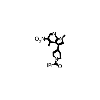 Cc1c([N+](=O)[O-])cnc2c1c(C1=CCN(C(=O)C(C)C)CC1)cn2C